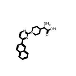 N[C@H](C(=O)O)C1CCN(c2nccc(-c3ccc4ccccc4c3)n2)CC1